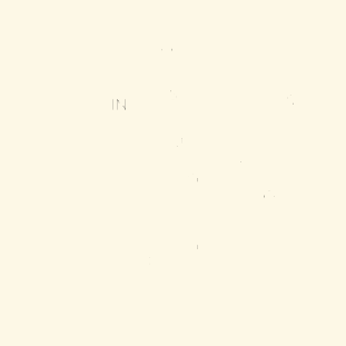 COC(=O)c1sccc1S(=O)(=O)Nc1cccc(C(C)=O)c1